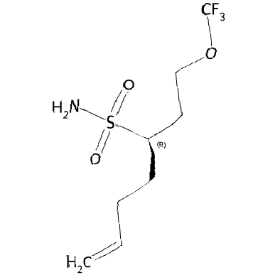 C=CCC[C@H](CCOC(F)(F)F)S(N)(=O)=O